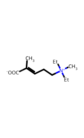 CC[N+](C)(CC)CCC=C(C)C(=O)[O-]